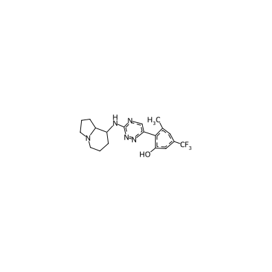 Cc1cc(C(F)(F)F)cc(O)c1-c1cnc(NC2CCCN3CCCC23)nn1